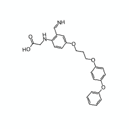 N=Cc1cc(OCCCOc2ccc(Oc3ccccc3)cc2)ccc1NCC(=O)O